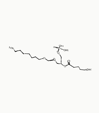 CCCCCCCCCCCCCC(=O)O[C@@H](COCOCCCCCCCNC(C)=O)COP(=O)(O)O